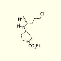 CCOC(=O)N1CCC(n2nnnc2CCCCl)CC1